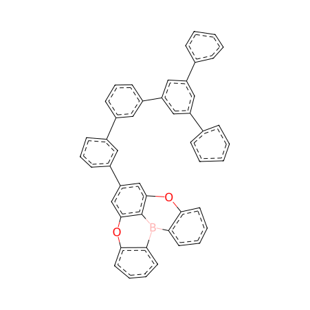 c1ccc(-c2cc(-c3ccccc3)cc(-c3cccc(-c4cccc(-c5cc6c7c(c5)Oc5ccccc5B7c5ccccc5O6)c4)c3)c2)cc1